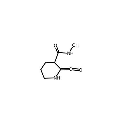 O=C=C1NCCCC1C(=O)NO